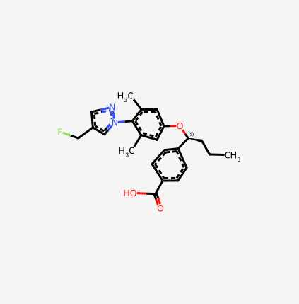 CCC[C@H](Oc1cc(C)c(-n2cc(CF)cn2)c(C)c1)c1ccc(C(=O)O)cc1